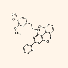 COc1ccc(CCNc2nc(-c3ccccn3)cc(Cl)c2-c2c(F)cccc2Cl)cc1OC